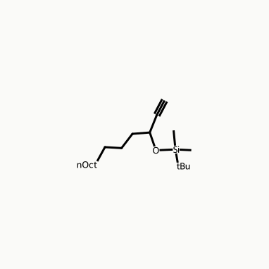 C#CC(CCCCCCCCCCC)O[Si](C)(C)C(C)(C)C